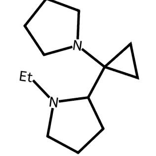 CCN1CCCC1C1(N2CCCC2)CC1